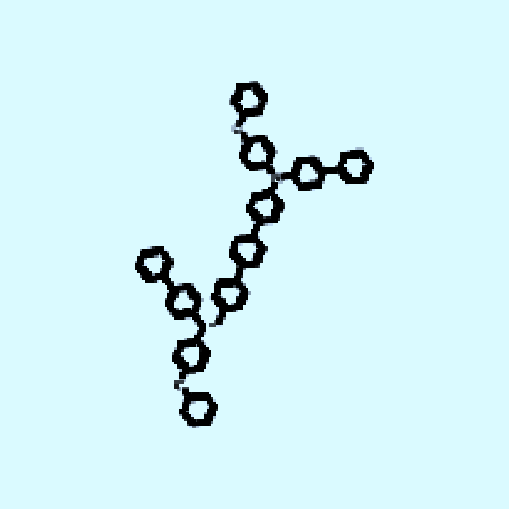 C1=CCCC(Oc2ccc([C@@H](Cc3ccc(-c4ccc(-c5ccc(N(c6ccc(Oc7ccccc7)cc6)c6ccc(-c7ccccc7)cc6)cc5)cc4)cc3)c3ccc(-c4ccccc4)cc3)cc2)=C1